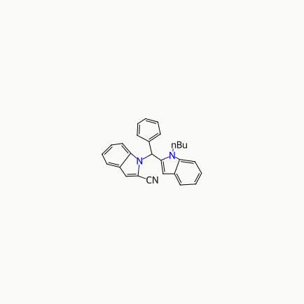 CCCCn1c(C(c2ccccc2)n2c(C#N)cc3ccccc32)cc2ccccc21